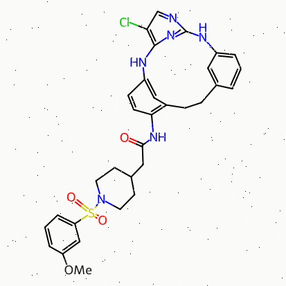 COc1cccc(S(=O)(=O)N2CCC(CC(=O)Nc3ccc4cc3CCc3cccc(c3)Nc3ncc(Cl)c(n3)N4)CC2)c1